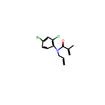 C=CCN(C(=O)C(=C)C)c1ccc(Br)cc1Cl